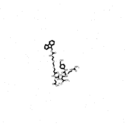 CC(C)[C@H](NC(=O)[C@H](CCC(=O)O)NC(=O)CCOCCOCCNC(=O)OCC1c2ccccc2-c2ccccc21)C(=O)N[C@@H](CCCNC(N)=O)C(=O)Nc1ccc(CO)cc1